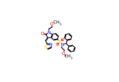 COCCN1C(=O)/C(=C/c2nccs2)c2cc(S(=O)(=O)N(CCOC)C(c3ccccc3)c3ccccc3)ccc21